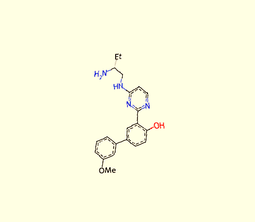 CC[C@@H](N)CNc1ccnc(-c2cc(-c3cccc(OC)c3)ccc2O)n1